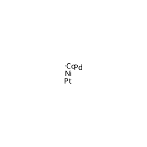 [Co].[Ni].[Pd].[Pt]